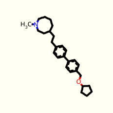 CN1CCCCC(CCc2ccc(-c3ccc(COC4CCCC4)cc3)cc2)CC1